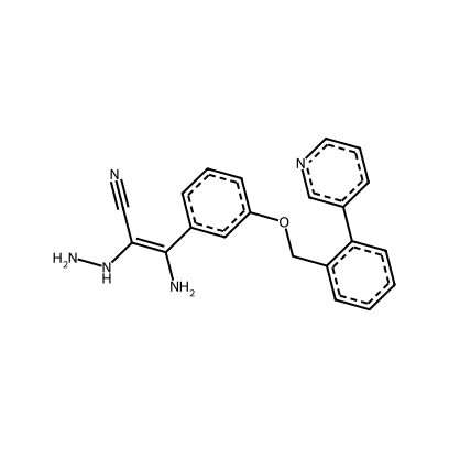 N#C/C(NN)=C(/N)c1cccc(OCc2ccccc2-c2cccnc2)c1